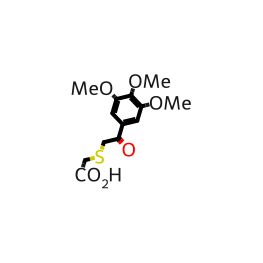 COc1cc(C(=O)CSCC(=O)O)cc(OC)c1OC